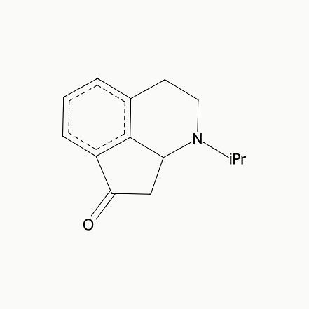 CC(C)N1CCc2cccc3c2C1CC3=O